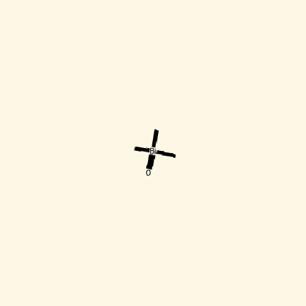 [CH3][Bi]([CH3])([CH3])=[O]